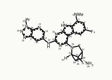 CNc1cc(F)cc2c1[nH]c1nc(Nc3cnc4c(c3)nnn4C(C)C)nc(N3CC4[C@H](N)C[C@H]3[C@@H]4C)c12